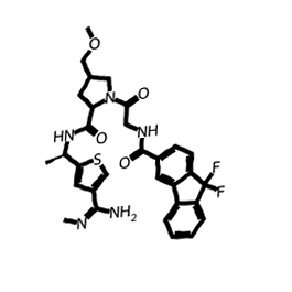 C/N=C(/N)c1csc([C@@H](C)NC(=O)C2CC(COC)CN2C(=O)CNC(=O)c2ccc3c(c2)-c2ccccc2C3(F)F)c1